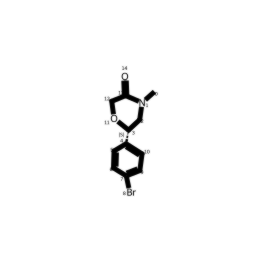 CN1C[C@H](c2ccc(Br)cc2)OCC1=O